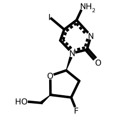 Nc1nc(=O)n([C@H]2CC(F)[C@@H](CO)O2)cc1I